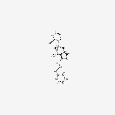 O=c1[nH]c(-c2ccccc2F)nc2ncn(CCCc3ccccc3)c12